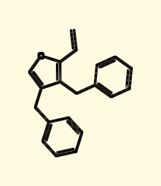 C=Cc1occ(Cc2ccccc2)c1Cc1ccccc1